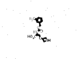 Cc1cccc(COC(=O)NC(COC2CNC2)C(=O)O)c1